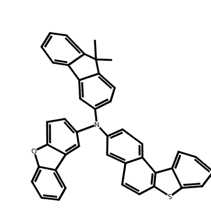 CC1(C)c2ccccc2-c2cc(N(c3ccc4c(ccc5sc6ccccc6c54)c3)c3ccc4oc5ccccc5c4c3)ccc21